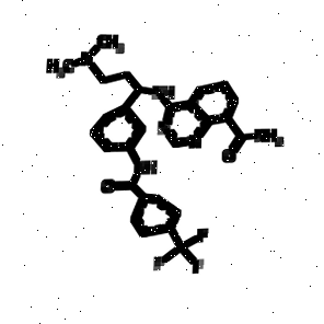 CN(C)CCC(Nc1ncnc2c(C(N)=O)cccc12)c1cccc(NC(=O)c2ccc(C(F)(F)F)cc2)c1